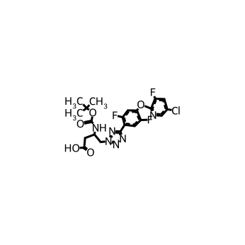 CC(C)(C)OC(=O)NC(CC(=O)O)Cn1nnc(-c2cc(F)c(Oc3ncc(Cl)cc3F)cc2F)n1